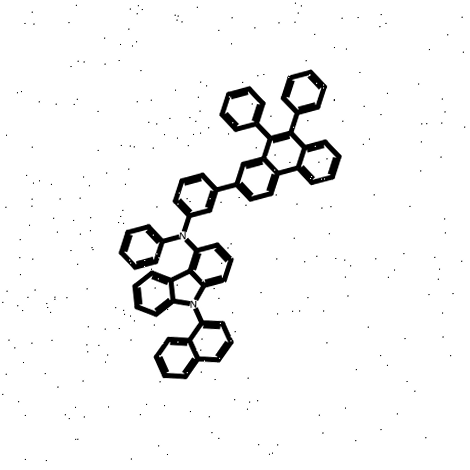 c1ccc(-c2c(-c3ccccc3)c3cc(-c4cccc(N(c5ccccc5)c5cccc6c5c5ccccc5n6-c5cccc6ccccc56)c4)ccc3c3ccccc23)cc1